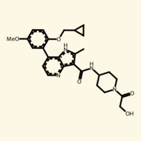 COc1ccc(OCC2CC2)c(-c2ccnc3c(C(=O)NC4CCN(C(=O)CO)CC4)c(C)[nH]c23)c1